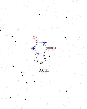 CCOC(=O)c1cc2c(=O)[nH]c(=O)[nH]n2c1